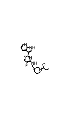 CCC(=O)N1CCC[C@@H](CNc2nc(-c3c[nH]c4ncccc34)ncc2F)C1